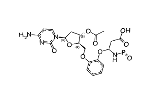 CC(=O)O[C@H]1C[C@H](n2ccc(N)nc2=O)O[C@@H]1COc1ccccc1OC(CC(=O)O)NP=O